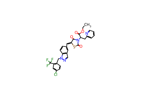 CCOC(=O)C(Cc1ccccn1)N1C(=O)SC(=Cc2ccc3c(cnn3Cc3ccc(Cl)cc3C(F)(F)F)c2)C1=O